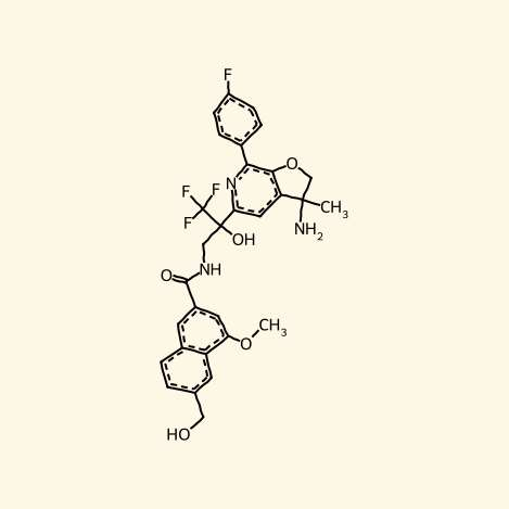 COc1cc(C(=O)NCC(O)(c2cc3c(c(-c4ccc(F)cc4)n2)OCC3(C)N)C(F)(F)F)cc2ccc(CO)cc12